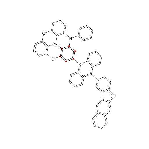 c1ccc(N2c3cccc4c3[Si]3(c5ccccc5)c5c(cccc5Oc5cc(-c6c7ccccc7c(-c7ccc8oc9cc%10ccccc%10cc9c8c7)c7ccccc67)cc2c53)O4)cc1